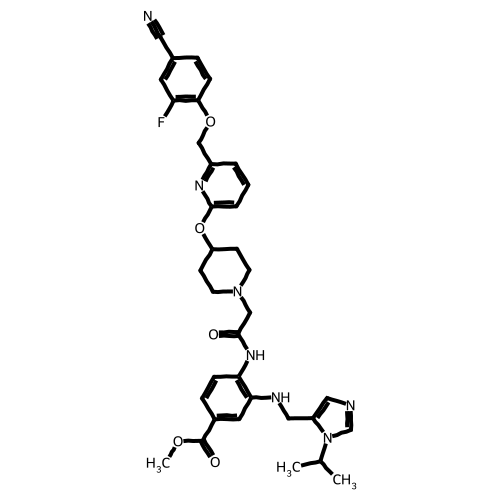 COC(=O)c1ccc(NC(=O)CN2CCC(Oc3cccc(COc4ccc(C#N)cc4F)n3)CC2)c(NCc2cncn2C(C)C)c1